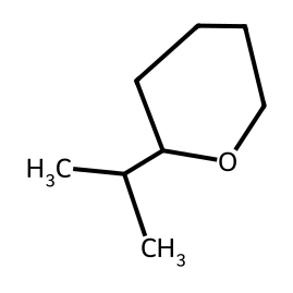 CC(C)C1CCCCO1